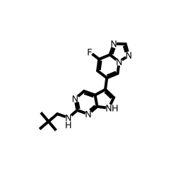 CC(C)(C)CNc1ncc2c(-c3cc(F)c4ncnn4c3)c[nH]c2n1